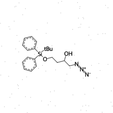 CC(C)(C)[Si](OCCC(O)CN=[N+]=[N-])(c1ccccc1)c1ccccc1